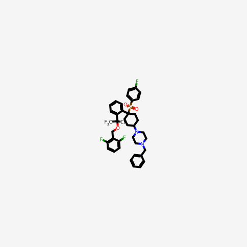 O=S(=O)(c1ccc(F)cc1)C1(c2ccccc2C(OCc2c(F)cccc2F)(C(F)(F)F)C(F)(F)F)CCC(N2CCN(Cc3ccccc3)CC2)CC1